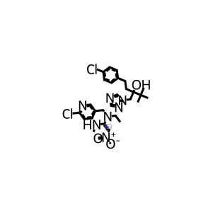 CC(C)(C)C(O)(CCc1ccc(Cl)cc1)Cn1cncn1.CCN(Cc1ccc(Cl)nc1)/C(=C/[N+](=O)[O-])NC